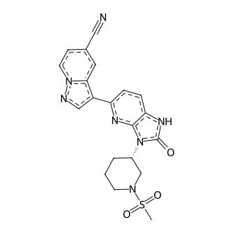 CS(=O)(=O)N1CCC[C@H](n2c(=O)[nH]c3ccc(-c4cnn5ccc(C#N)cc45)nc32)C1